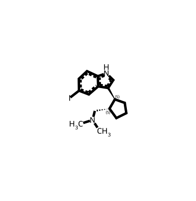 CN(C)C[C@H]1CCC[C@@H]1c1c[nH]c2ccc(I)cc12